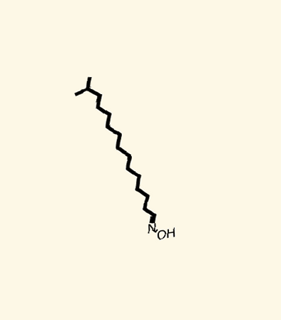 CC(C)CCCCCCCCCCCCC=NO